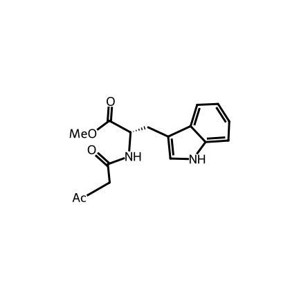 COC(=O)[C@H](Cc1c[nH]c2ccccc12)NC(=O)CC(C)=O